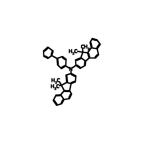 CC1(C)c2cc(N(c3ccc(-c4ccccc4)cc3)c3ccc4c(c3)C(C)(C)c3c-4ccc4ccccc34)ccc2-c2ccc3ccccc3c21